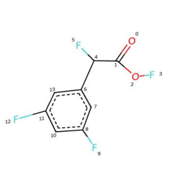 O=C(OF)C(F)c1cc(F)cc(F)c1